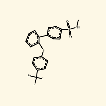 CNS(=O)(=O)c1ccc(-c2ccccc2Sc2ccc(C(F)(F)F)cc2)cc1